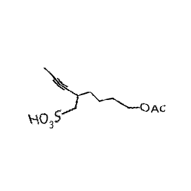 CC#CC(CCCCOC(C)=O)CS(=O)(=O)O